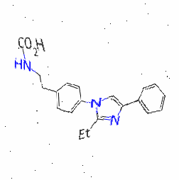 CCc1nc(-c2ccccc2)cn1-c1ccc(CCNC(=O)O)cc1